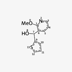 COc1ncccc1C(O)c1cccs1